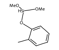 CO[SiH](OC)Oc1ccccc1C